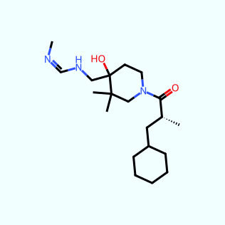 C/N=C\NCC1(O)CCN(C(=O)[C@H](C)CC2CCCCC2)CC1(C)C